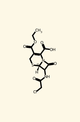 CCOC(=O)C1=C(C(=O)O)N2C(=O)C(NC(=O)CCl)[C@@H]2SC1